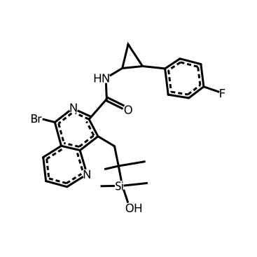 CC(C)(Cc1c(C(=O)NC2CC2c2ccc(F)cc2)nc(Br)c2cccnc12)[Si](C)(C)O